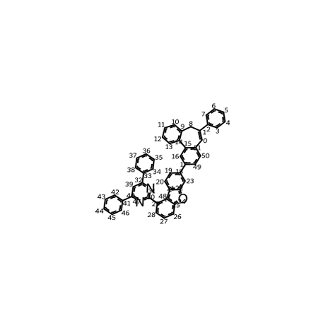 C1=C(c2ccccc2)Cc2ccccc2-c2cc(-c3ccc4c(c3)oc3cccc(-c5nc(-c6ccccc6)cc(-c6ccccc6)n5)c34)ccc21